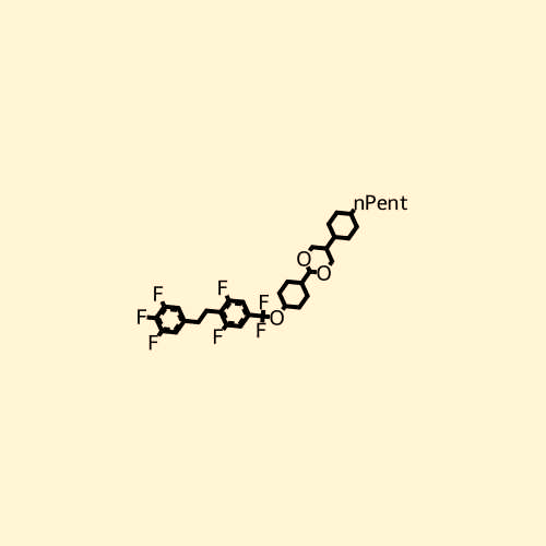 CCCCCC1CCC(C2COC(C3CCC(OC(F)(F)c4cc(F)c(CCc5cc(F)c(F)c(F)c5)c(F)c4)CC3)OC2)CC1